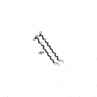 CCCCCCCCCCCCN=CCC(=O)[O-].CCCCCCCCCCCCN=CCC(=O)[O-].[Na+].[Na+]